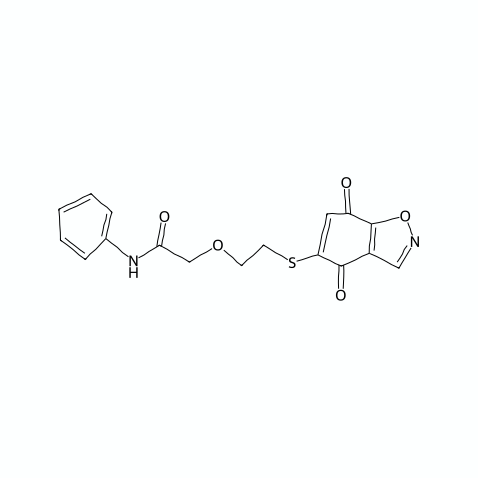 O=C(COCCSC1=CC(=O)c2oncc2C1=O)Nc1ccccc1